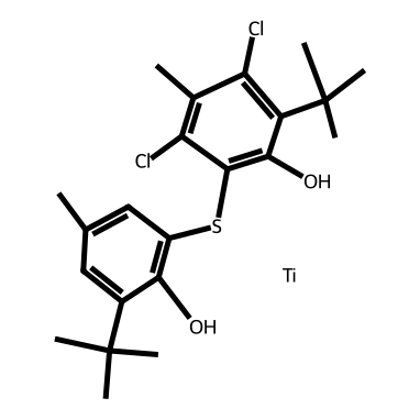 Cc1cc(Sc2c(O)c(C(C)(C)C)c(Cl)c(C)c2Cl)c(O)c(C(C)(C)C)c1.[Ti]